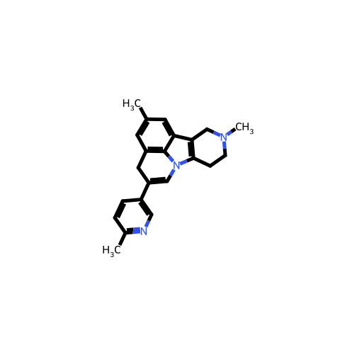 Cc1cc2c3c(c1)c1c(n3C=C(c3ccc(C)nc3)C2)CCN(C)C1